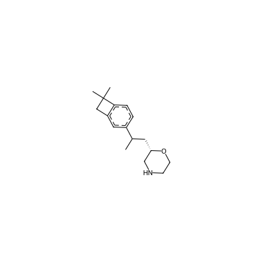 CC(C[C@H]1CNCCO1)c1ccc2c(c1)CC2(C)C